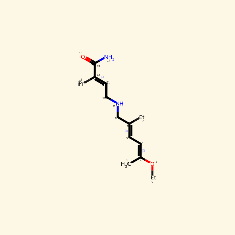 CCO/C(C)=C/C=C(\CC)CNC/C=C(/C(N)=O)C(C)C